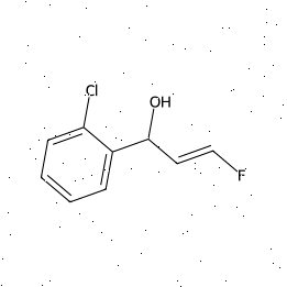 OC(C=CF)c1ccccc1Cl